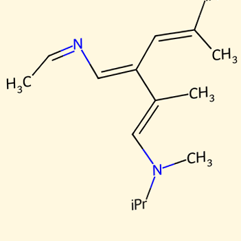 C\C=N/C=C(\C=C(/C)C(C)C)C(/C)=C/N(C)C(C)C